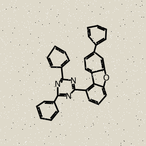 c1ccc(-c2ccc3c(c2)oc2cccc(-c4nc(-c5ccccc5)nc(-c5ccccc5)n4)c23)cc1